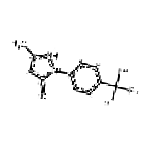 Cc1cc(=O)n(-c2ccc(C(F)(F)F)cc2)[nH]1